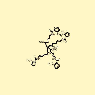 C[C@H]1CC=N[C@@H]1C(=O)NCCCC[C@H](C=O)CC(C[C@@H](C=O)CCCCNC(=O)[C@H]1N=CC[C@@H]1C)(C[C@@H](C=O)CCCCNC(=O)[C@H]1N=CC[C@@H]1C)[C@@H](C=O)CCCCNC(=O)[C@H]1N=CC[C@@H]1C